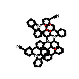 N#Cc1ccc(-n2c3ccccc3c3ccccc32)c(-c2ccc3c(c2)N(c2ccccc2-c2ccccc2)c2cccc4c2B3c2ccc(-c3cc(C#N)ccc3-n3c5ccccc5c5ccccc53)cc2N4c2ccccc2-c2ccccc2)c1